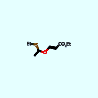 CCOC(=O)C=COC(C)SCC